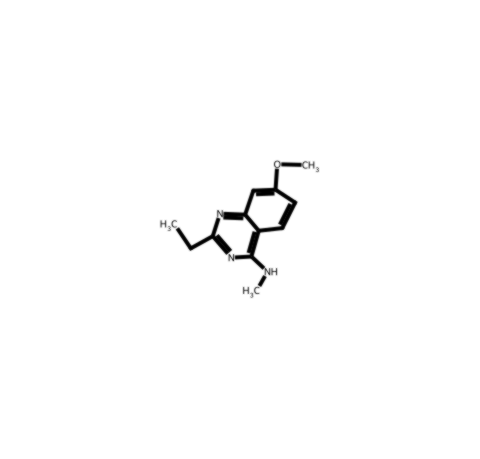 CCc1nc(NC)c2ccc(OC)cc2n1